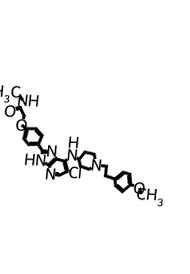 CNC(=O)COc1ccc(-c2nc3c(NC4CCN(CCc5ccc(OC)cc5)CC4)c(Cl)cnc3[nH]2)cc1